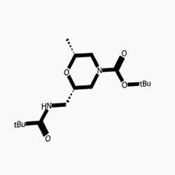 C[C@@H]1CN(C(=O)OC(C)(C)C)C[C@H](CNC(=O)C(C)(C)C)O1